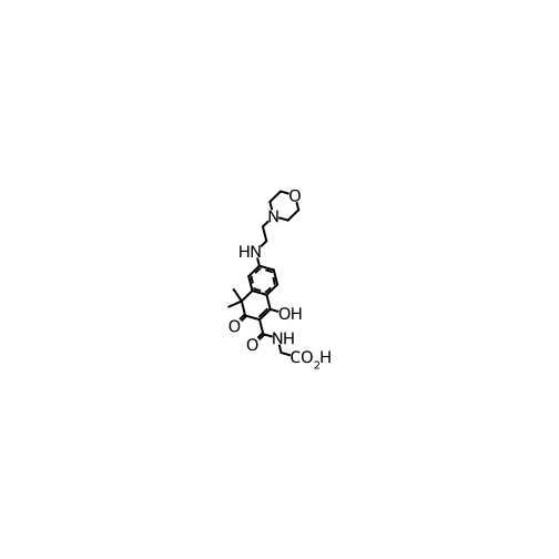 CC1(C)C(=O)C(C(=O)NCC(=O)O)=C(O)c2ccc(NCCN3CCOCC3)cc21